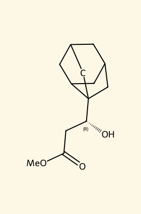 COC(=O)C[C@@H](O)C12CC3CC(CC1C3)C2